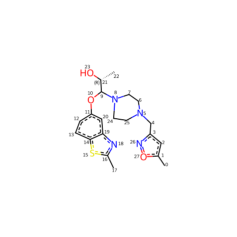 Cc1cc(CN2CCN(C(Oc3ccc4sc(C)nc4c3)[C@@H](C)O)CC2)no1